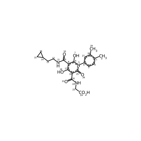 Cc1ccc(-n2c(O)c(C(=O)NCCC3CC3)c(O)c(C(=O)NCC(=O)O)c2=O)cc1C